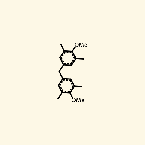 COc1c(C)cc(Cc2cc(C)c(OC)c(C)c2)cc1C